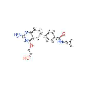 Nc1nc(OCCO)c2cc(-c3ccc(C(=O)NC4CC4)cc3)ccc2n1